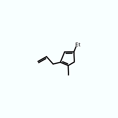 C=CCC1=C(C)CC(CC)=C1